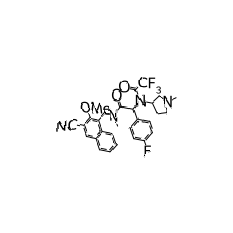 COc1c(C#N)cc2ccccc2c1CN(C)C(=O)C(c1ccc(F)cc1)N(C(=O)C(F)(F)F)C1CCN(C)C1